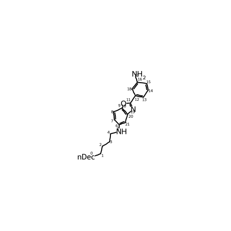 CCCCCCCCCCCCCCNc1ccc2oc(-c3cccc(N)c3)nc2c1